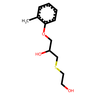 Cc1ccccc1OCC(O)CSCCO